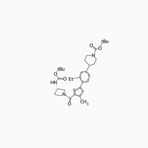 CCc1cc(C2CCN(C(=O)OC(C)(C)C)CC2)ccc1-c1cc(C)c(C(=O)N2CC[C@H](NC(=O)OC(C)(C)C)C2)s1